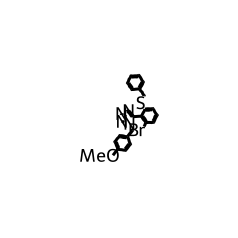 COc1ccc(Cn2nnnc2-c2c(Br)cccc2SCc2ccccc2)cc1